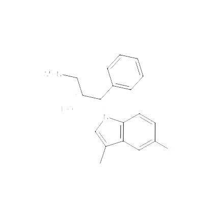 CNC[C@@H](O)[C@H](c1ccccc1)n1cc(C)c2cc(Cl)ccc21